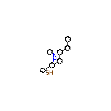 S[C@]12C=CC=C1C2c1ccc(-c2cccc(-c3cc(-c4cccc(-c5ccccc5)c4)ccc3Nc3ccccc3)c2)cc1